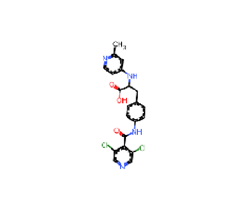 Cc1cc(NC(Cc2ccc(NC(=O)c3c(Cl)cncc3Cl)cc2)C(=O)O)ccn1